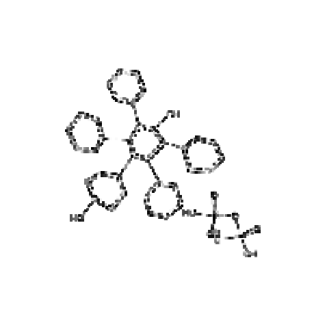 O=P(O)(O)OP(=O)(O)O.Oc1ccc(-c2c(-c3ccccc3)c(-c3ccccc3)c(O)c(-c3ccccc3)c2-c2ccccc2)cc1